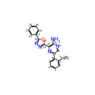 CCCc1ccccc1-c1cnc(N)c(-c2nnc(-c3ccccc3)o2)n1